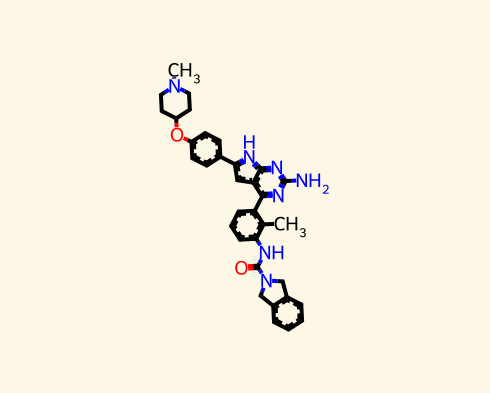 Cc1c(NC(=O)N2Cc3ccccc3C2)cccc1-c1nc(N)nc2[nH]c(-c3ccc(OC4CCN(C)CC4)cc3)cc12